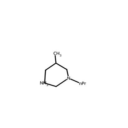 CCCN1CCCC(C)C1.N